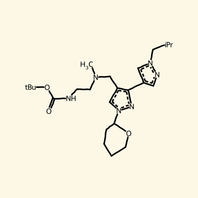 CC(C)Cn1cc(-c2nn(C3CCCCO3)cc2CN(C)CCNC(=O)OC(C)(C)C)cn1